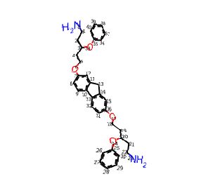 NCCC(CCOc1ccc2c(c1)Cc1cc(OCCC(CCN)Oc3ccccc3)ccc1-2)Oc1ccccc1